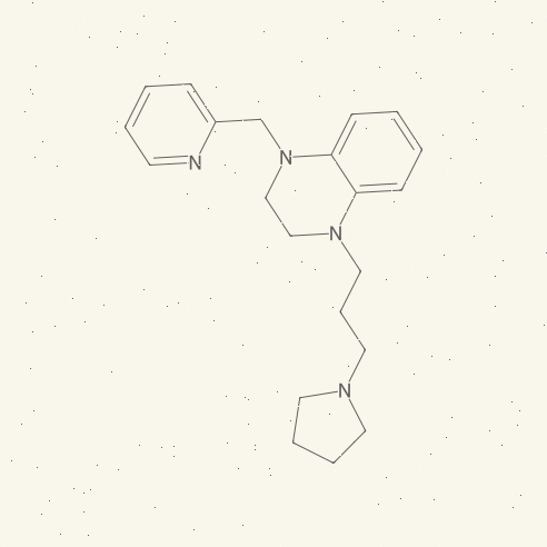 c1ccc(CN2CCN(CCCN3CCCC3)c3ccccc32)nc1